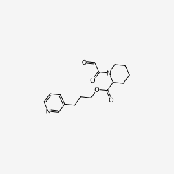 O=CC(=O)N1CCCCC1C(=O)OCCCc1cccnc1